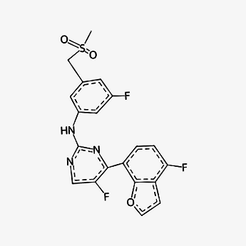 CS(=O)(=O)Cc1cc(F)cc(Nc2ncc(F)c(-c3ccc(F)c4ccoc34)n2)c1